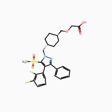 CS(=O)(=O)c1c(-c2cccc(F)c2F)c(-c2ccccc2)nn1C[C@H]1CC[C@H](COCC(=O)O)CC1